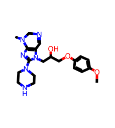 COc1ccc(OCC(O)Cn2c(N3CCNCC3)nc3c2C=NCN3C)cc1